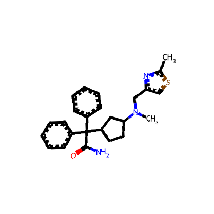 Cc1nc(CN(C)C2CCC(C(C(N)=O)(c3ccccc3)c3ccccc3)C2)cs1